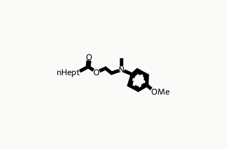 CCCCCCCC(=O)OCCN(C)c1ccc(OC)cc1